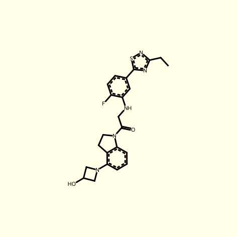 CCc1nsc(-c2ccc(F)c(NCC(=O)N3CCc4c(N5CC(O)C5)cccc43)c2)n1